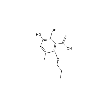 CCCOc1c(C)cc(O)c(O)c1C(=O)O